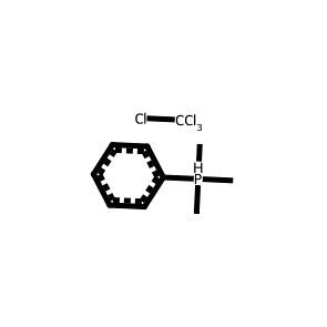 C[PH](C)(C)c1ccccc1.ClC(Cl)(Cl)Cl